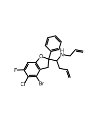 C=CCNC(CC=C)C1(c2ccccc2)Cc2c(cc(F)c(Cl)c2Br)O1